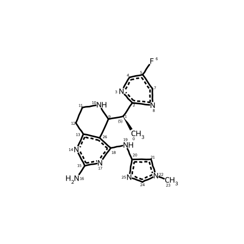 C[C@H](c1ncc(F)cn1)C1NCCc2nc(N)nc(Nc3cn(C)cn3)c21